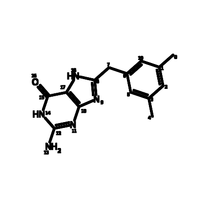 Cc1cc(C)cc(Cc2nc3nc(N)[nH]c(=O)c3[nH]2)c1